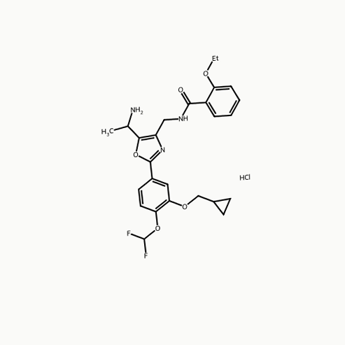 CCOc1ccccc1C(=O)NCc1nc(-c2ccc(OC(F)F)c(OCC3CC3)c2)oc1C(C)N.Cl